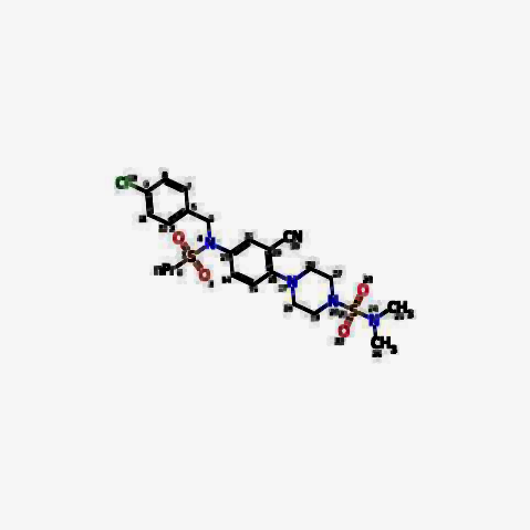 CCCS(=O)(=O)N(Cc1ccc(Cl)cc1)c1ccc(N2CCN(S(=O)(=O)N(C)C)CC2)c(C#N)c1